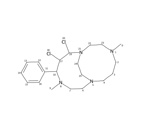 CN1CCCN2CCN(C)C(c3ccccc3)C(Cl)C(Cl)N(CC1)CC2